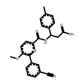 COc1ccc(C(=O)NC(CC(=O)O)c2ccc(C)cc2)nc1-c1cccc(C#N)c1